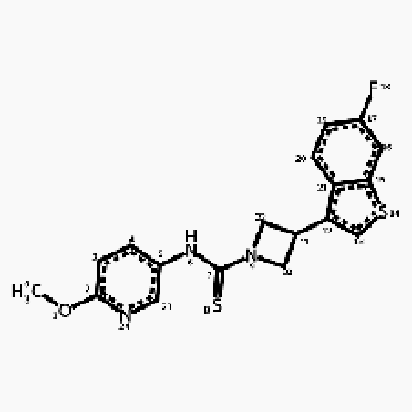 COc1ccc(NC(=S)N2CC(c3csc4cc(F)ccc34)C2)cn1